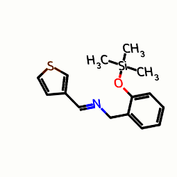 C[Si](C)(C)Oc1ccccc1CN=Cc1ccsc1